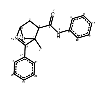 CC12OC(CC1C(=O)Nc1ccccc1)N=C2c1ccccc1